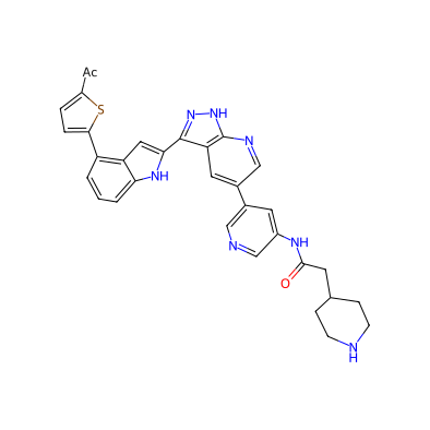 CC(=O)c1ccc(-c2cccc3[nH]c(-c4n[nH]c5ncc(-c6cncc(NC(=O)CC7CCNCC7)c6)cc45)cc23)s1